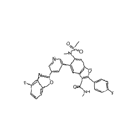 CNC(=O)c1c(-c2ccc(F)cc2)oc2cc(N(C)S(C)(=O)=O)c(-c3cncc(-c4nc5c(F)cccc5o4)c3)cc12